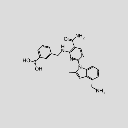 Cc1cc2c(CN)cccc2n1-c1ncc(C(N)=O)c(NCc2cccc(B(O)O)c2)n1